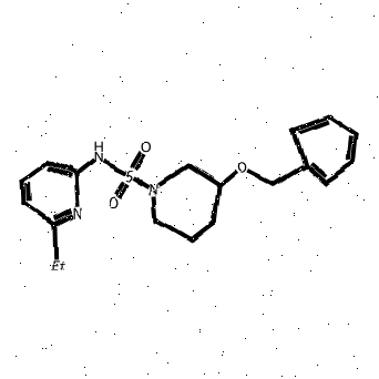 CCc1cccc(NS(=O)(=O)N2CCCC(OCc3ccccc3)C2)n1